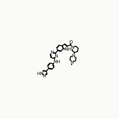 CN1CCN(C2CCCN(C(=O)c3cc4ccc(-c5nccc(Nc6ccc(-c7cn[nH]c7)cc6)n5)cc4[nH]3)C2)CC1